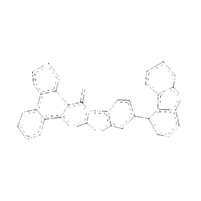 O=c1c2c3ccccc3c3ccccc3c2nc2oc3cc(-c4cccc5oc6ccccc6c45)ccc3n12